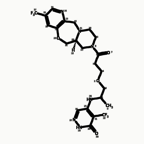 CC(COCCC(=O)N1CCN2Cc3ncc(C(F)(F)F)cc3OC[C@@H]2C1)Nc1cn[nH]c(=O)c1C(F)(F)F